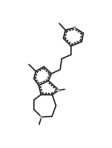 Cc1cc(CCCc2ccnc(C)c2)c2c(c1)c1c(n2C)CCN(C)CC1